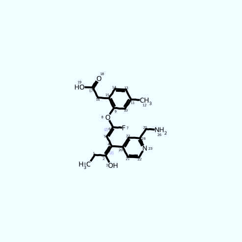 CC/C(O)=C(\C=C(/F)Oc1cc(C)ccc1CC(=O)O)c1ccnc(CN)c1